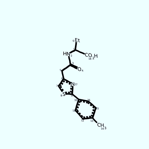 CCC(NC(=O)Cc1csc(-c2ccc(C)cc2)n1)C(=O)O